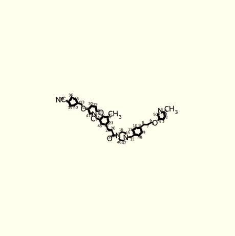 Cc1ccc(OCCCc2ccc(CN3CCN(C(=O)C=Cc4cc(C)c(Oc5ccc(OCc6ccc(C#N)cc6)cn5)c(Cl)c4)CC3)cc2)cn1